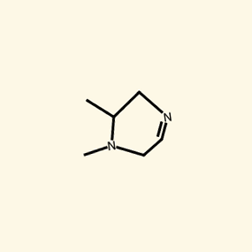 CC1CN=CCN1C